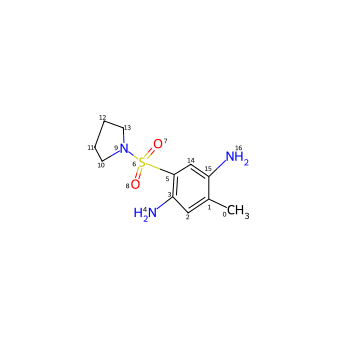 Cc1cc(N)c(S(=O)(=O)N2CCCC2)cc1N